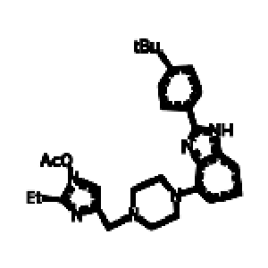 CCc1nc(CN2CCN(c3cccc4[nH]c(-c5ccc(C(C)(C)C)cc5)nc34)CC2)cn1OC(C)=O